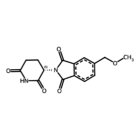 COCc1ccc2c(c1)C(=O)N([C@H]1CCC(=O)NC1=O)C2=O